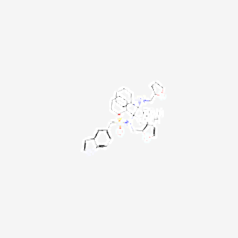 O=C(O)C(C1CCCCC1)(N(Cc1ccco1)S(=O)(=O)Cc1ccc2sccc2c1)[C@@](NCc1ccco1)(C(=O)O)C1CCCCC1